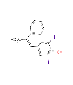 O=C(O)C(=Cc1cc(I)c(O)c(I)c1)c1ccccc1